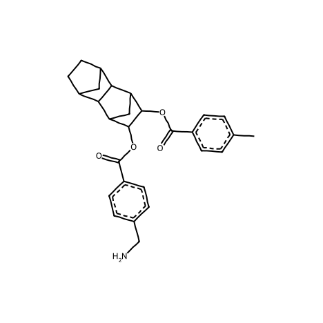 Cc1ccc(C(=O)OC2C3CC(C2OC(=O)c2ccc(CN)cc2)C2C4CCC(C4)C32)cc1